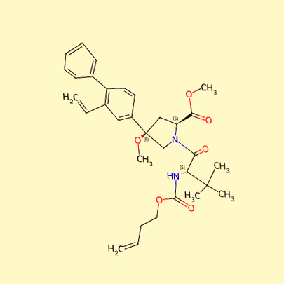 C=CCCOC(=O)N[C@H](C(=O)N1C[C@](OC)(c2ccc(-c3ccccc3)c(C=C)c2)C[C@H]1C(=O)OC)C(C)(C)C